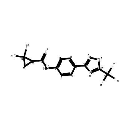 O=C(Nc1ccc(-c2noc(C(F)(F)F)n2)cc1)C1CC1(F)F